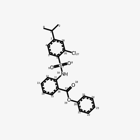 CC(C)c1ccc(S(=O)(=O)Nc2ccccc2C(=O)Oc2ccccc2)c(Cl)c1